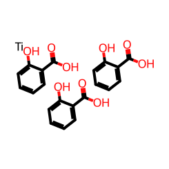 O=C(O)c1ccccc1O.O=C(O)c1ccccc1O.O=C(O)c1ccccc1O.[Ti]